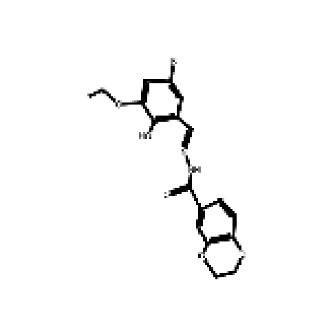 CCOc1cc(Br)cc(C=NNC(=O)c2ccc3c(c2)OCCO3)c1O